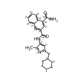 Cc1nn(CC2CCCCC2)cc1NC(=O)c1cc(C(N)=O)c2ccccc2n1